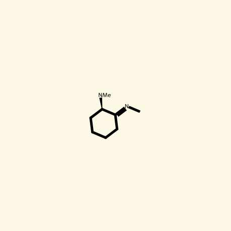 C/N=C1\CCCC[C@H]1NC